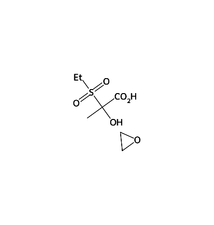 C1CO1.CCS(=O)(=O)C(C)(O)C(=O)O